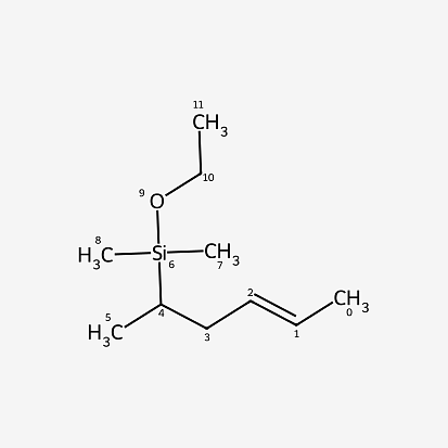 CC=CCC(C)[Si](C)(C)OCC